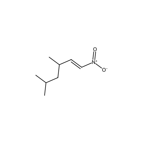 CC(C)CC(C)/C=C/[N+](=O)[O-]